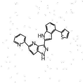 c1ccc(-c2ccc3[nH]nc(-c4cc5c(-c6cccs6)cccc5[nH]4)c3n2)nc1